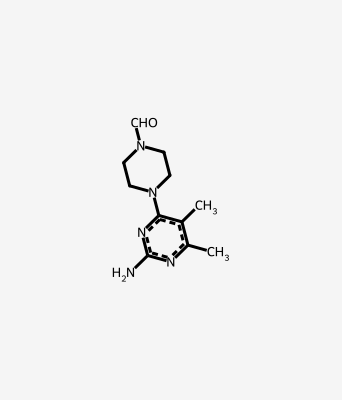 Cc1nc(N)nc(N2CCN(C=O)CC2)c1C